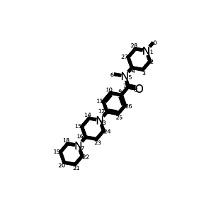 CN1CCC(N(C)C(=O)c2ccc(N3CCC(N4CCCCC4)CC3)cc2)CC1